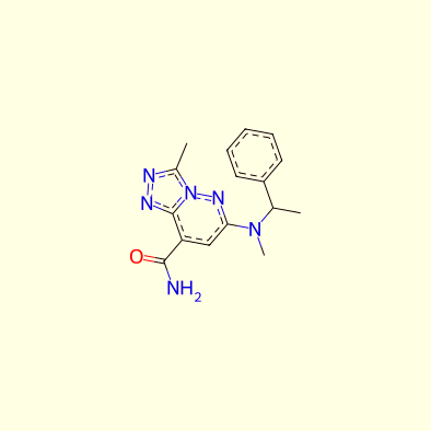 Cc1nnc2c(C(N)=O)cc(N(C)C(C)c3ccccc3)nn12